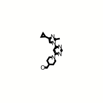 Cc1nc(C2CC2)cn1-c1cc(N2CCC(C=O)CC2)ncn1